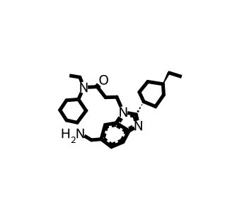 CCN(C(=O)CCn1c2cc(CN)ccc2nc1[C@H]1CC[C@H](CC)CC1)C1CCCCC1